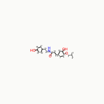 CC(C)COc1ccc(/C=C/C(=O)NCCc2ccc(O)cc2)cc1O